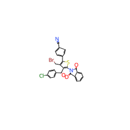 N#Cc1ccc(-c2sc(N3C(=O)c4ccccc4C3=O)c(C(=O)c3ccc(Cl)cc3)c2CBr)cc1